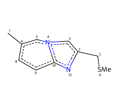 CSCc1cn2cc(C)ccc2n1